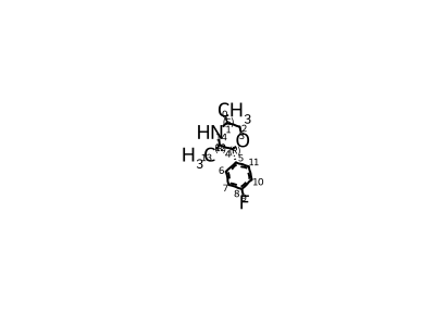 C[C@H]1CO[C@H](c2ccc(F)cc2)[C@@H](C)N1